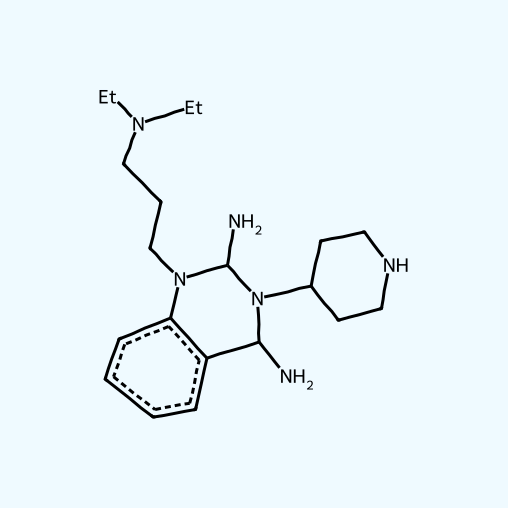 CCN(CC)CCCN1c2ccccc2C(N)N(C2CCNCC2)C1N